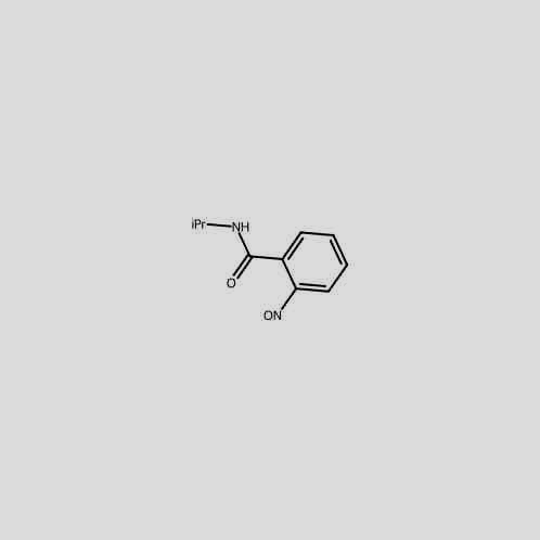 CC(C)NC(=O)c1ccccc1N=O